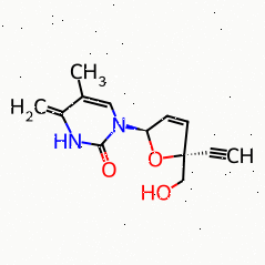 C#C[C@@]1(CO)C=C[C@H](N2C=C(C)C(=C)NC2=O)O1